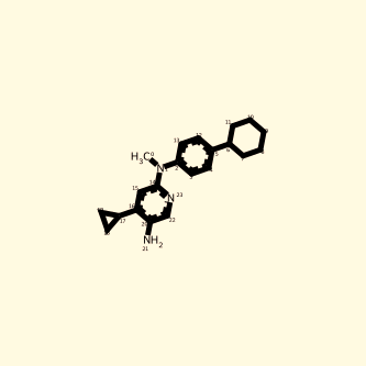 CN(c1ccc(C2CCCCC2)cc1)c1cc(C2CC2)c(N)cn1